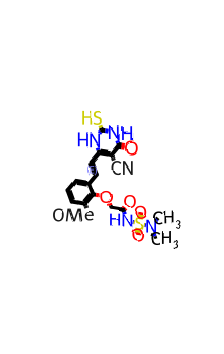 COc1cccc(/C=C/C2=C(C#N)C(=O)NC(S)N2)c1OCC(=O)NS(=O)(=O)N(C)C